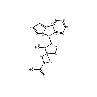 O=C(O)N1CC2(CC[C@@H]([C@@H]3c4ccccc4-c4cncn43)[C@@H]2O)C1